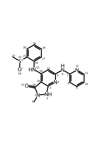 Cn1[nH]c2nc(Nc3ccccn3)cc(Nc3ccccc3[S+](C)[O-])c2c1=O